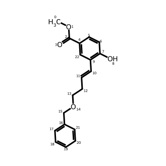 COC(=O)c1ccc(O)c(/C=C/CCOCc2ccccc2)c1